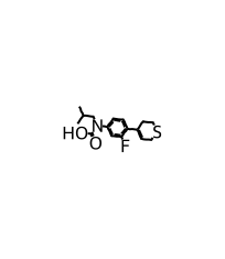 CC(C)CN(C(=O)O)c1ccc(C2=CCSCC2)c(F)c1